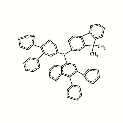 CC1(C)c2ccccc2-c2ccc(N(c3ccc(-c4ccccc4)c(-c4ccccc4)c3)c3cc(-c4ccccc4)c(-c4ccccc4)c4ccccc34)cc21